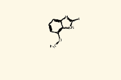 COc1cccc2nc(I)[nH]c12